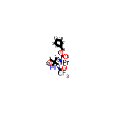 CC(C)N(CC1(CNC(=O)C(F)(F)F)COC1)C(=O)OCc1ccccc1